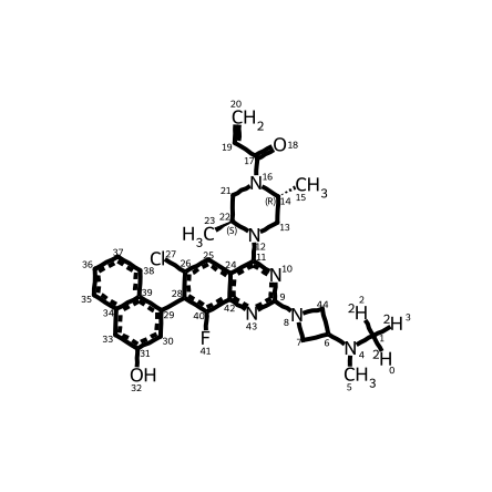 [2H]C([2H])([2H])N(C)C1CN(c2nc(N3C[C@@H](C)N(C(=O)C=C)C[C@@H]3C)c3cc(Cl)c(-c4cc(O)cc5ccccc45)c(F)c3n2)C1